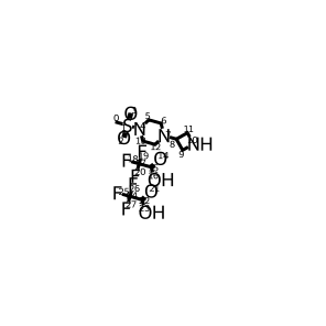 CS(=O)(=O)N1CCN(C2CNC2)CC1.O=C(O)C(F)(F)F.O=C(O)C(F)(F)F